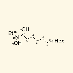 CCCCCCCCCCCC(O)N(O)CC